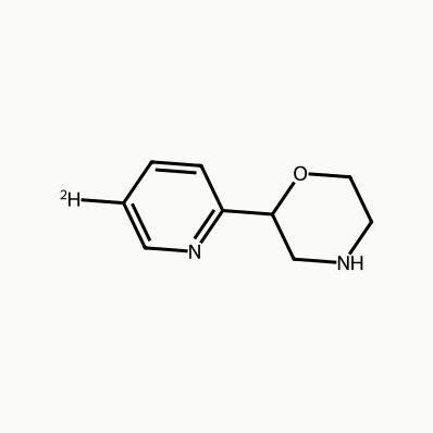 [2H]c1ccc(C2CNCCO2)nc1